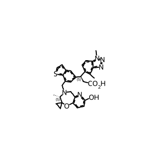 Cc1c([C@@H](CC(=O)O)c2cc(CN3Cc4nc(O)ccc4OC4(CC4)[C@@H]3C)c3sccc3c2)ccc2c1nnn2C